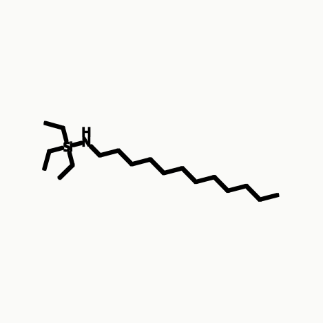 CCCCCCCCCCCCN[Si](CC)(CC)CC